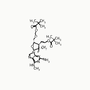 CNc1nc(N)nc2c1ncn2[C@@H]1O[C@H](COCOC(=O)C(C)(C)C)[C@@H](CCOC(=O)C(C)(C)C)[C@@]1(C)F